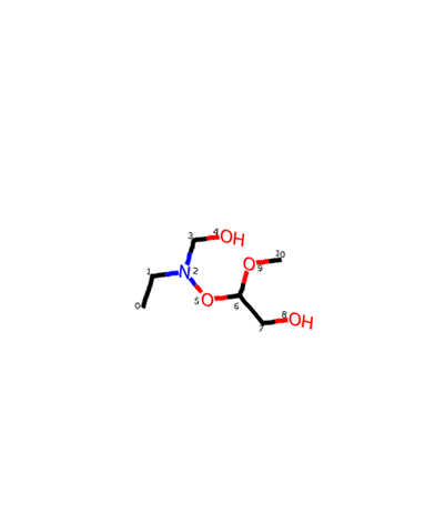 CCN(CO)OC(CO)OC